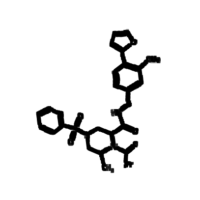 COc1cc(CNC(=O)C2CN(S(=O)(=O)c3ccccc3)CC(C)N2C(=O)C(C)C)ccc1-c1ccco1